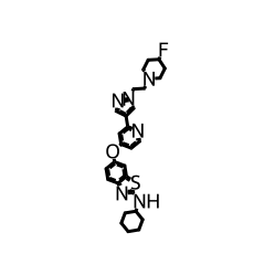 FC1CCN(CCn2cc(-c3cc(Oc4ccc5nc(NC6CCCCC6)sc5c4)ccn3)cn2)CC1